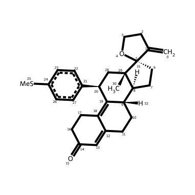 C=C1CCO[C@@]12CC[C@H]1[C@@H]3CCC4=CC(=O)CCC4=C3[C@@H](c3ccc(SC)cc3)C[C@@]12C